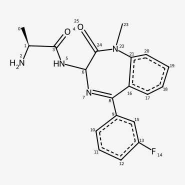 C[C@H](N)C(=O)NC1N=C(c2cccc(F)c2)c2ccccc2N(C)C1=O